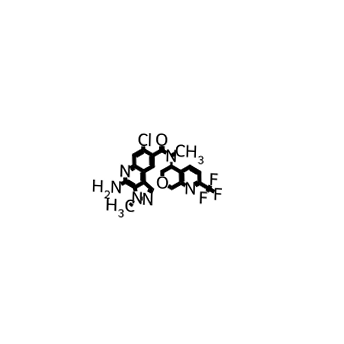 CN(C(=O)c1cc2c(cc1Cl)nc(N)c1c2cnn1C)[C@@H]1COCc2nc(C(F)(F)F)ccc21